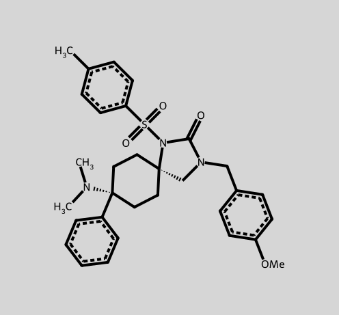 COc1ccc(CN2C[C@]3(CC[C@@](c4ccccc4)(N(C)C)CC3)N(S(=O)(=O)c3ccc(C)cc3)C2=O)cc1